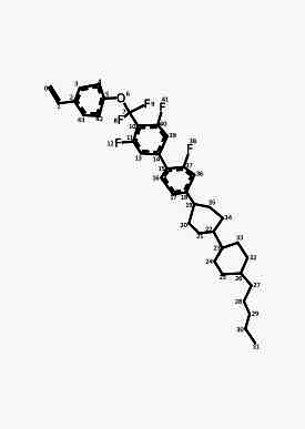 C=Cc1ccc(OC(F)(F)c2c(F)cc(-c3ccc(C4CCC(C5CCC(CCCCC)CC5)CC4)cc3F)cc2F)cc1